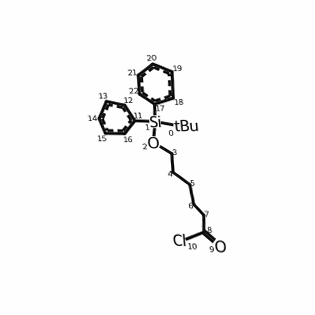 CC(C)(C)[Si](OCCCCCC(=O)Cl)(c1ccccc1)c1ccccc1